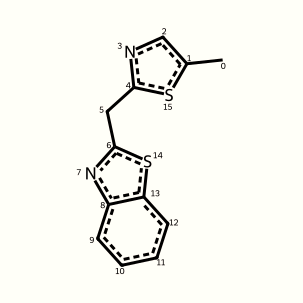 Cc1cnc(Cc2nc3ccccc3s2)s1